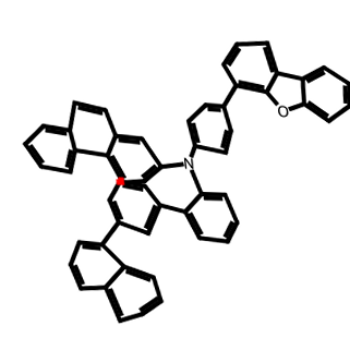 c1cc(-c2ccccc2N(c2ccc(-c3cccc4c3oc3ccccc34)cc2)c2ccc3c(ccc4ccccc43)c2)cc(-c2cccc3ccccc23)c1